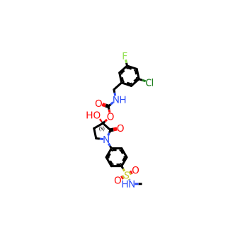 CNS(=O)(=O)c1ccc(N2CC[C@](O)(OC(=O)NCc3cc(F)cc(Cl)c3)C2=O)cc1